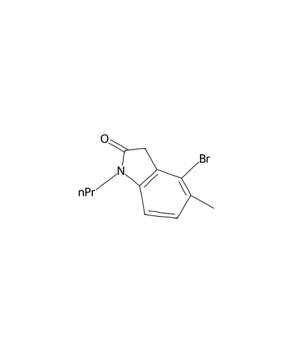 CCCN1C(=O)Cc2c1ccc(C)c2Br